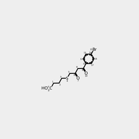 O=C(O)CCCSCC(=O)CC(=O)c1ccc(Br)cc1